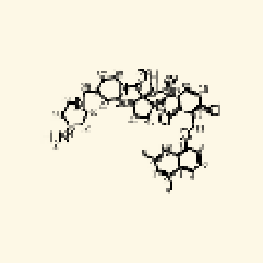 Cc1cc(C)c2cccc(OCc3c(Cl)ccc(S(=O)(=O)NC4(C(=O)N5CCC(CN6CCC(N)CC6)CC5)CCCC4)c3Cl)c2n1